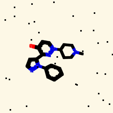 CN1CCC(n2ccc(=O)c(-c3ccnn3-c3ccccc3)n2)CC1